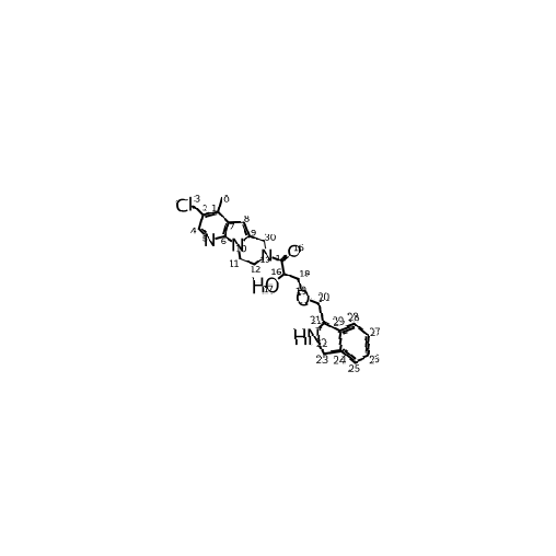 Cc1c(Cl)cnc2c1cc1n2CCN(C(=O)C(O)COCC2NCc3ccccc32)C1